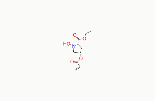 C=CC(=O)O[C@H]1C[C@@H](C(=O)OCC)N(O)C1